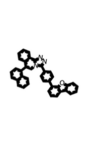 c1ccc2c(-c3cn4c(-c5ccc(-c6cccc7c6oc6ccccc67)cc5)nnc4c4ccccc34)cccc2c1